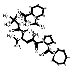 C/C(=C\[C@H](C(C)C)N(C)C(=O)[C@@H](NC(=O)C1CCCCN1C(C)C)C(C)(C)C)C(=O)N1CCC[C@H]1C(=O)N1CCCCCC1